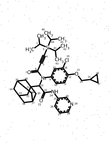 CC(C)[Si](C#CC(=O)N(c1ccc(OCC2CC2)c(Cl)c1)C(C(=O)Nc1cccnc1)C12CC3CC(CC(C3)C1)C2)(C(C)C)C(C)C